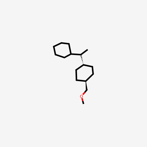 COC[C@H]1CC[C@H](C(C)C2CCCCC2)CC1